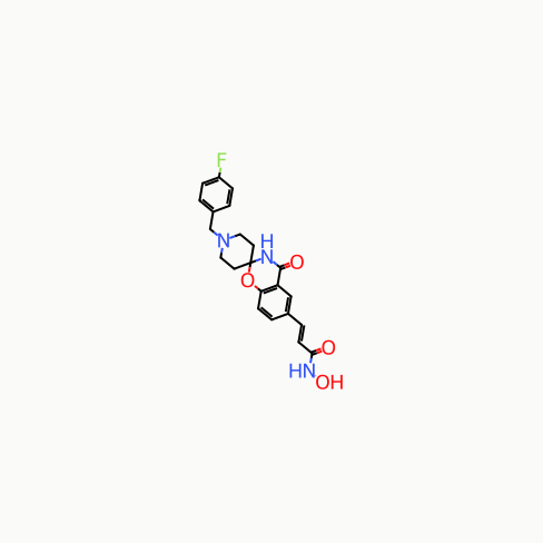 O=C(C=Cc1ccc2c(c1)C(=O)NC1(CCN(Cc3ccc(F)cc3)CC1)O2)NO